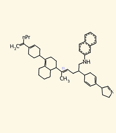 C=C(CCC)C1=CCC(C2=C3CCCCC3C(/C(C)=C/CC(CNc3ccc4ccccc4c3)C3C=CC(C4C=NCC4)=CC3)CC2)CC1